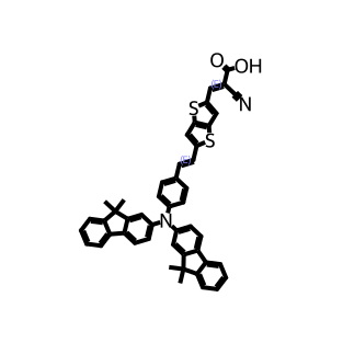 CC1(C)c2ccccc2-c2ccc(N(c3ccc(/C=C/c4cc5sc(/C=C(\C#N)C(=O)O)cc5s4)cc3)c3ccc4c(c3)C(C)(C)c3ccccc3-4)cc21